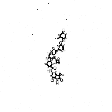 O=C(Nc1cc(C(F)(F)F)c2c(c1)C1(CC1)C(=O)N2)c1ccc2nc(CN3CC=C(c4cccc(OCc5ccc(Cl)cc5F)n4)CC3)n(C[C@@H]3CCO3)c2c1